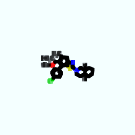 Cc1cc2nc(N3CC[C@@H]4CCCC[C@@H]4C3)sc2c(-c2ccc(Cl)cc2)c1[C@H](OC(C)(C)C)C(=O)O